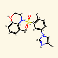 Cc1cn(-c2ccc(C)c(S(=O)(=O)N3CCOc4cccc(C)c43)c2)cn1